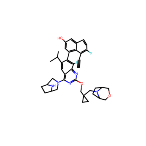 C#Cc1c(F)ccc2cc(O)cc(-c3c(C(C)C)cc4c(N5CC6CCC(C5)N6)nc(OCC5(CN6C7CCC6COC7)CC5)nc4c3F)c12